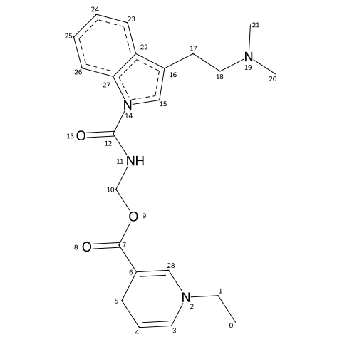 CCN1C=CCC(C(=O)OCNC(=O)n2cc(CCN(C)C)c3ccccc32)=C1